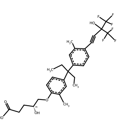 CCC(CC)(c1ccc(C#CC(O)(C(F)(F)F)C(F)(F)F)c(C)c1)c1ccc(OC[C@H](O)CCC(=O)O)c(C)c1